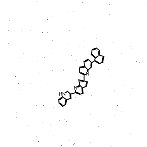 C1=C(c2ccc3ccc(-c4ccc5ccc(-c6cccc7ccccc67)cc5n4)cc3n2)CNc2ccccc21